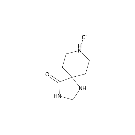 [CH2-][NH+]1CCC2(CC1)NCNC2=O